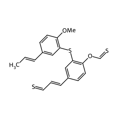 CC=Cc1ccc(OC)c(Sc2cc(C=CC=S)ccc2OC=S)c1